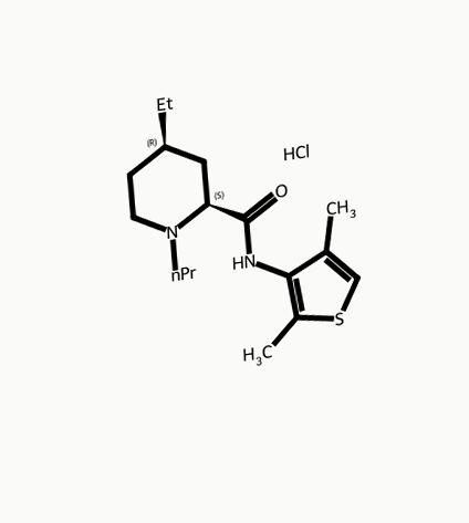 CCCN1CC[C@@H](CC)C[C@H]1C(=O)Nc1c(C)csc1C.Cl